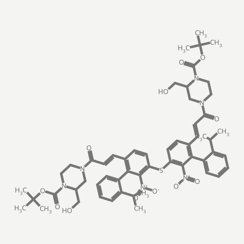 CC(C)c1ccccc1-c1c(/C=C/C(=O)N2CCN(C(=O)OC(C)(C)C)C(CO)C2)ccc(Sc2ccc(/C=C/C(=O)N3CCN(C(=O)OC(C)(C)C)C(CO)C3)c(-c3ccccc3C(C)C)c2[N+](=O)[O-])c1[N+](=O)[O-]